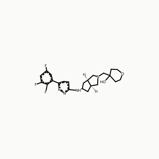 OC1(CN2C[C@H]3C[C@H](Nc4ccc(-c5cc(F)cc(F)c5F)nn4)C[C@H]3C2)CCOCC1